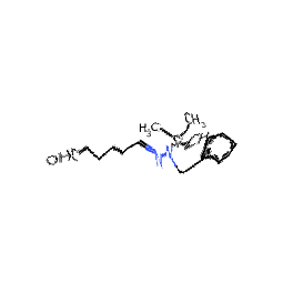 C[Si](C)(C)N(Cc1ccccc1)/N=C/CCCCC=O